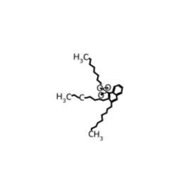 CCCCCCCCCc1cc2ccccc2c(S(=O)(=O)OCCCCCCCC)c1CCCCCCCCC